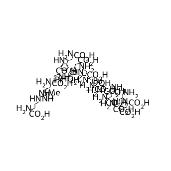 CC(C)C[C@H](N)C(=O)O.CC[C@H](C)[C@H](N)C(=O)O.CSCC[C@H](N)C(=O)O.C[C@@H](O)[C@H](N)C(=O)O.C[C@H](N)C(=O)O.N=C(N)NCCC[C@H](N)C(=O)O.NC(=O)CC[C@H](N)C(=O)O.NCCCC[C@H](N)C(=O)O.N[C@@H](CCC(=O)O)C(=O)O.N[C@@H](Cc1c[nH]c2ccccc12)C(=O)O.N[C@@H](Cc1ccccc1)C(=O)O.O=C(O)[C@@H]1CCCN1